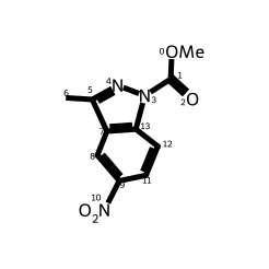 COC(=O)n1nc(C)c2cc([N+](=O)[O-])ccc21